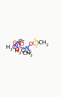 C=C1CSCC(OCCN2/C(=C/C=C3/C(=O)N(C)C(=O)N(C(C)C)C3=O)C(C)(C)c3ccccc32)CSC1